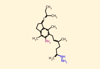 C=C(CC/C(C)=C/Cc1c(C)c2c(c(C)c1P)CCC2=C=C(C)CC)NN